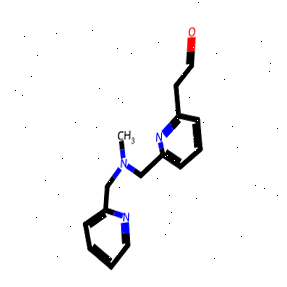 CN(Cc1ccccn1)Cc1cccc(CC=O)n1